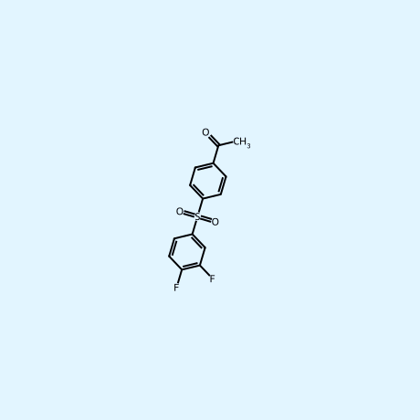 CC(=O)c1ccc(S(=O)(=O)c2ccc(F)c(F)c2)cc1